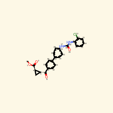 COC(=O)[C@@H]1C[C@H]1C(=O)c1ccc(-c2ccc(NC(=O)Nc3ccccc3Cl)cc2)cc1